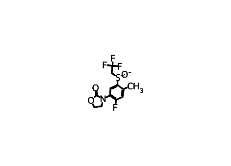 Cc1cc(F)c(N2CCOC2=O)cc1[S+]([O-])CC(F)(F)F